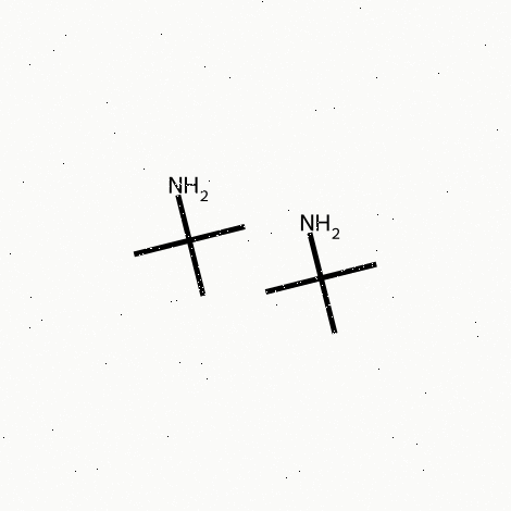 CC(C)(C)N.CC(C)(C)N